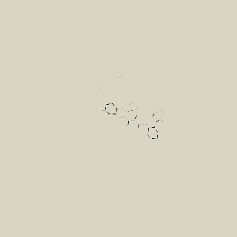 COCCN(C)CCOc1ccc(CN2C(=O)C(C(=O)Nc3ccc(C(F)(F)F)cc3C3=NCNC(C(F)(F)F)=C3)=C(O)C3(CCC3)N2C)c(F)c1F